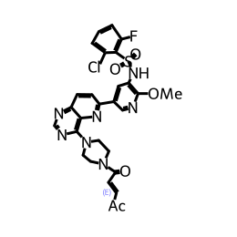 COc1ncc(-c2ccc3ncnc(N4CCN(C(=O)/C=C/C(C)=O)CC4)c3n2)cc1NS(=O)(=O)c1c(F)cccc1Cl